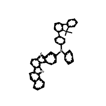 CC1(C)c2ccccc2-c2cccc(-c3ccc(N(c4ccccc4)c4ccc5c(c4)sc4ccc6c7ccc8ccccc8c7oc6c45)cc3)c21